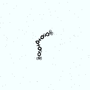 CC1(Oc2ccc(C(C)(C)c3cccc(C(C)(C)c4ccc(OC5(C)C=CC([N+](=O)[O-])=CC5)cc4)c3)cc2)C=CC([N+](=O)[O-])=CC1